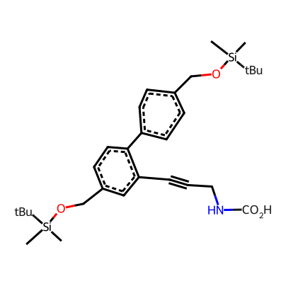 CC(C)(C)[Si](C)(C)OCc1ccc(-c2ccc(CO[Si](C)(C)C(C)(C)C)cc2C#CCNC(=O)O)cc1